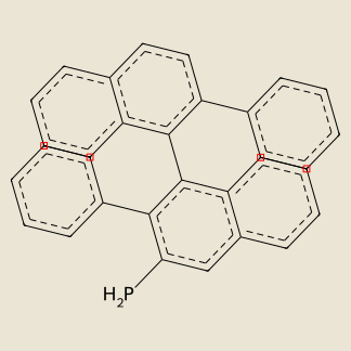 Pc1cc2ccccc2c(-c2c(-c3ccccc3)ccc3ccccc23)c1-c1ccccc1